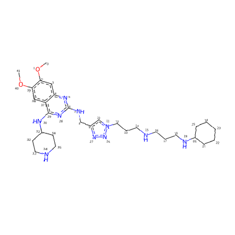 COc1cc2nc(NCc3cn(CCCNCCCNC4CCCCC4)nn3)nc(NC3CCNCC3)c2cc1OC